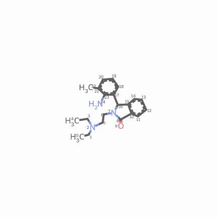 CCN(CC)CCN1C(=O)c2ccccc2C1c1cccc(C)c1N